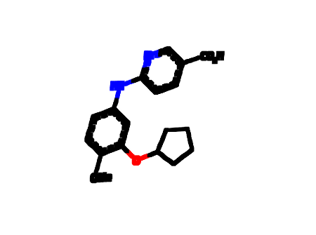 COc1ccc(Nc2ccc(C(=O)O)cn2)cc1OC1CCCC1